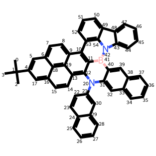 CC(C)(C)c1cc2ccc3c4c5c(c6ccc(c1)c2c36)N(c1ccc2ccccc2c1)c1cc2ccccc2cc1B5n1c2ccccc2c2cccc-4c21